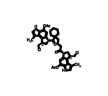 CC(=O)Oc1cc2c(c3c(C)c[nH]c13)[C@H](CCl)CN2C(=O)CCCC1(C(=O)N2C[C@@H](CCl)c3c2cc(OC(C)=O)c2[nH]cc(C)c32)CCCCC1